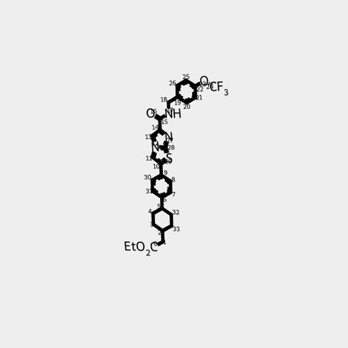 CCOC(=O)CC1CCC(c2ccc(-c3cn4cc(C(=O)NCc5ccc(OC(F)(F)F)cc5)nc4s3)cc2)CC1